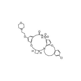 O=C1Cc2cc(OCCN3CCOCC3)cc(c2)OC[C@@H]2CC[C@H]2CN2CCCCc3cc(Cl)ccc3COc3ccc(cc32)S(=O)(=O)N1